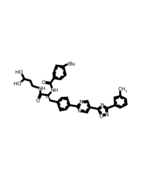 Cc1cccc(-c2noc(-c3cnc(-c4ccc(C[C@H](NC(=O)c5ccc(C(C)(C)C)cc5)C(=O)NCCC(O)O)cc4)nc3)n2)c1